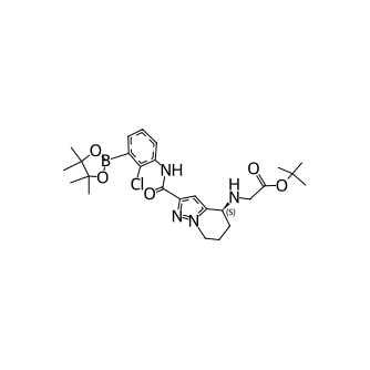 CC(C)(C)OC(=O)CN[C@H]1CCCn2nc(C(=O)Nc3cccc(B4OC(C)(C)C(C)(C)O4)c3Cl)cc21